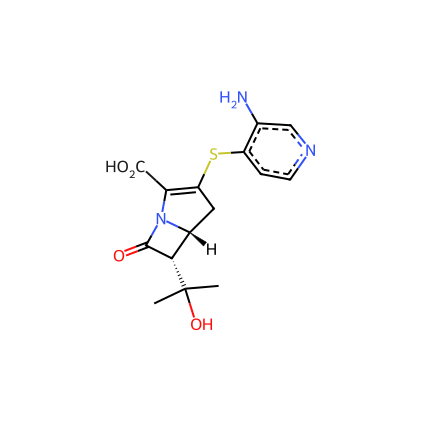 CC(C)(O)[C@@H]1C(=O)N2C(C(=O)O)=C(Sc3ccncc3N)C[C@H]12